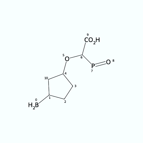 BC1CCC(OC(P=O)C(=O)O)C1